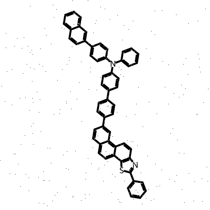 c1ccc(-c2nc3ccc4c5cc(-c6ccc(-c7ccc(N(c8ccccc8)c8ccc(-c9ccc%10ccccc%10c9)cc8)cc7)cc6)ccc5ccc4c3s2)cc1